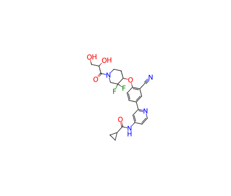 N#Cc1cc(-c2cc(NC(=O)C3CC3)ccn2)ccc1OC1CCN(C(=O)C(O)CO)CC1(F)F